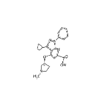 CN1CC[C@H](Oc2cc(C(=O)O)nc3c2c(C2CCC2)nn3-c2ccccc2)C1